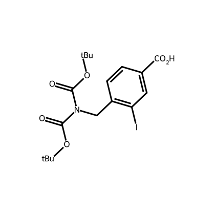 CC(C)(C)OC(=O)N(Cc1ccc(C(=O)O)cc1I)C(=O)OC(C)(C)C